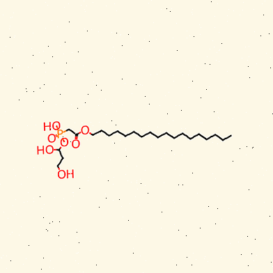 CCCCCCCCCCCCCCCCCCOC(=O)CP(=O)(O)OC(O)CCO